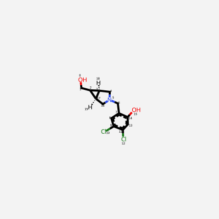 OCC1[C@H]2CN(Cc3cc(Cl)c(Cl)cc3O)C[C@@H]12